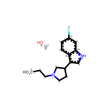 O=C(O)CCN1CCC(c2c[nH]c3cc(F)ccc23)C1.[Li+].[OH-]